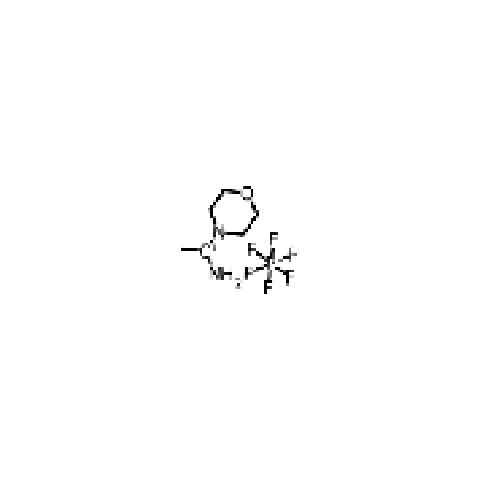 C[C+](N)N1CCOCC1.F[P-](F)(F)(F)(F)F